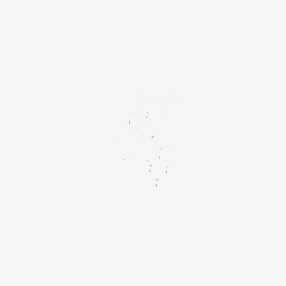 CC(C)Oc1cccc(OC(C)C)c1/C=C/C(=O)C1C=CC(=S)C=C1